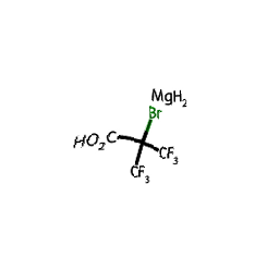 O=C(O)C(Br)(C(F)(F)F)C(F)(F)F.[MgH2]